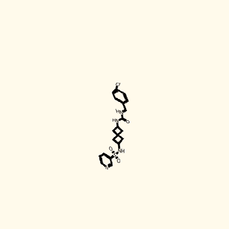 O=C(NCc1ccc(Cl)cc1)NC1CC2(C1)CC(NS(=O)(=O)c1cccnc1)C2